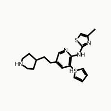 Cc1csc(Nc2ncc(CCC3CCNCC3)cc2[SH]2C=CC=C2)n1